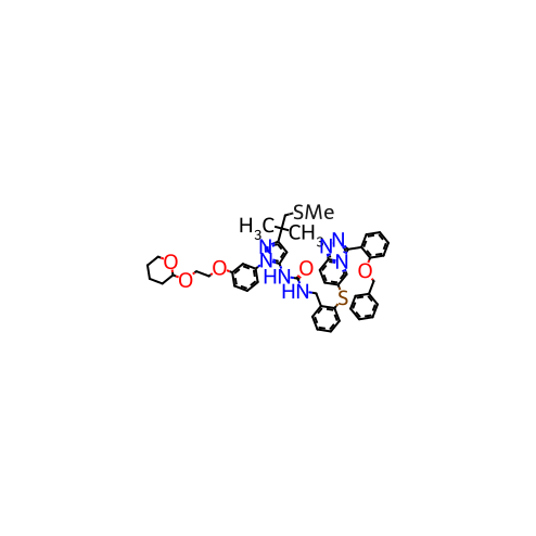 CSCC(C)(C)c1cc(NC(=O)NCc2ccccc2Sc2ccc3nnc(-c4ccccc4OCc4ccccc4)n3c2)n(-c2cccc(OCCOC3CCCCO3)c2)n1